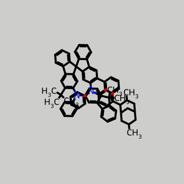 CC1CC2CC(C)C(c3ccc(N(c4ccccc4)c4cc5c(cc4-c4ccccc4)-c4ccccc4C54c5ccccc5-c5cc(C(C)(C)C)c(N(c6ccccc6)c6ccc7c(c6)-c6ccccc6C7(C)C)cc54)cc3)C(C1)C2